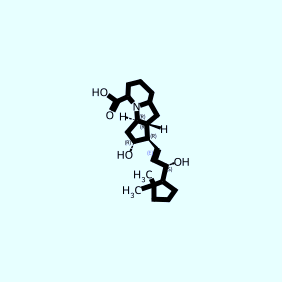 CC1(C)CCCC1[C@@H](O)/C=C/[C@@H]1[C@H]2CC3CCCC(C(=O)O)N3[C@@H]2C[C@H]1O